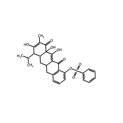 CC1=C(O)C(N(C)C)C2CC3Cc4cccc(OS(=O)(=O)c5ccccc5)c4C(=O)C3=C(O)C2(O)C1=O